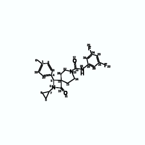 Cc1ccc(C2N(C3CC3)C(=O)C23CCN(C(=O)Nc2cc(F)cc(F)c2)CC3)cc1